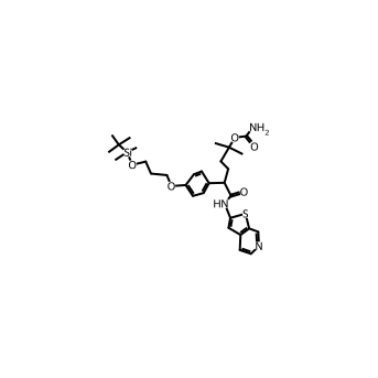 CC(C)(CCC(C(=O)Nc1cc2ccncc2s1)c1ccc(OCCCO[Si](C)(C)C(C)(C)C)cc1)OC(N)=O